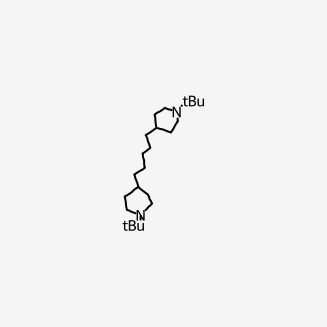 CC(C)(C)N1CCC(CCCCCC2CCN(C(C)(C)C)CC2)CC1